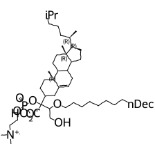 CCCCCCCCCCCCCCCCCCOC(CO)C(OP(=O)([O-])OCC[N+](C)(C)C)(C(=O)O)C1CC[C@@]2(C)C(=CCC3C2CC[C@@]2(C)C3CC[C@@H]2[C@H](C)CCCC(C)C)C1